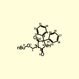 CCCCOCN1C(=O)NC(c2ccccc2)(c2ccccc2)C1=O